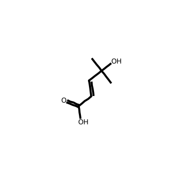 CC(C)(O)C=CC(=O)O